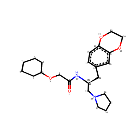 O=C(COC1CCCCC1)N[C@@H](Cc1ccc2c(c1)OCCO2)CN1CCCC1